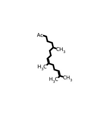 CC(=O)CCCC(C)CCC=C(C)CCC=C(C)C